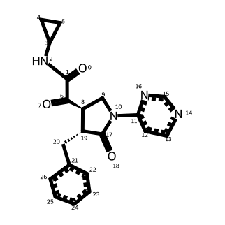 O=C(NC1CC1)C(=O)[C@H]1CN(c2ccncn2)C(=O)[C@@H]1Cc1ccccc1